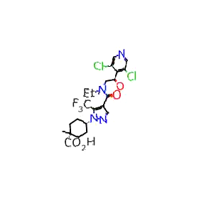 CCN(CC(=O)c1c(Cl)cncc1Cl)C(=O)c1cnn([C@H]2CC[C@](C)(C(=O)O)CC2)c1C(F)(F)F